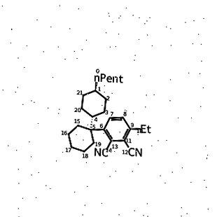 CCCCC[C@H]1CC[C@H](C2(c3ccc(CC)c(C#N)c3C#N)CCCCC2)CC1